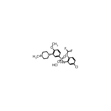 COc1ccc(S(=O)(=O)Nc2cc(Cl)ccc2OC(F)F)cc1N1CCN(C)CC1.Cl